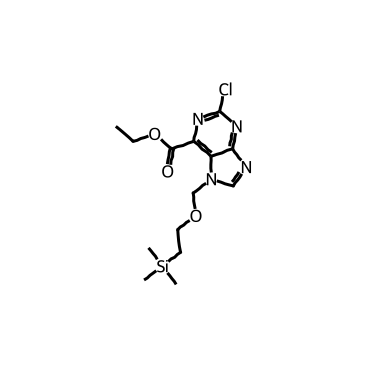 CCOC(=O)c1nc(Cl)nc2ncn(COCC[Si](C)(C)C)c12